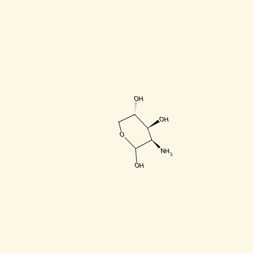 N[C@H]1C(O)OC[C@H](O)[C@H]1O